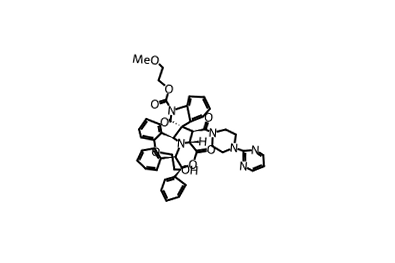 COCCOC(=O)N1C(=O)[C@@]2(c3ccccc31)[C@H](c1ccccc1OCCO)N1[C@H](c3ccccc3)[C@H](c3ccccc3)OC(=O)[C@H]1[C@@H]2C(=O)N1CCN(c2ncccn2)CC1